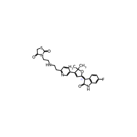 CC1(C)O/C(=C2/C(=O)Nc3cc(F)ccc32)C=C1c1ccc(CCNCCN2C(=O)CSC2=O)nc1